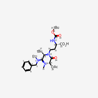 CCN(Cc1ccccc1)/C(=N\C)[C@H](N(CC[C@H](NC(=O)OC(C)(C)C)C(=O)O)C(=O)COC(C)=O)C(C)(C)C